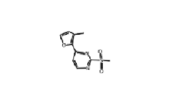 Cc1ccoc1-c1ccnc(S(C)(=O)=O)n1